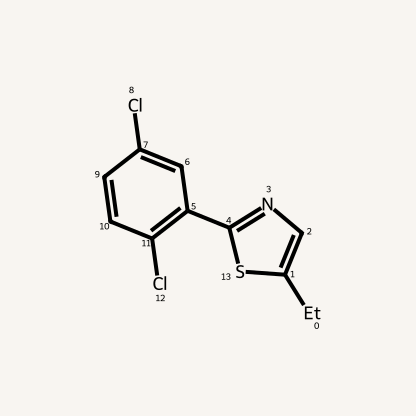 CCc1cnc(-c2cc(Cl)ccc2Cl)s1